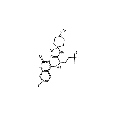 CCCN1CCC(C#N)(NC(=O)C(CCC(C)(C)CC)Nc2nc(=O)oc3cc(F)ccc23)CC1